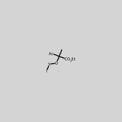 CCOC(=O)C(C)(OSI)C(C)=O